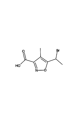 Cc1c(C(=O)O)noc1C(C)Br